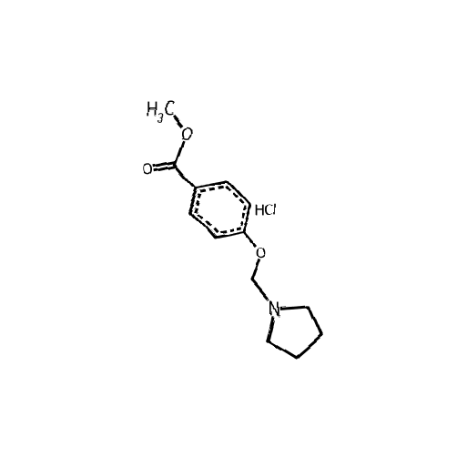 COC(=O)c1ccc(OCN2CCCC2)cc1.Cl